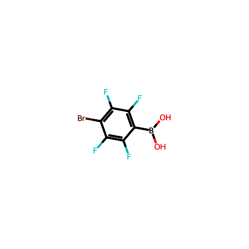 OB(O)c1c(F)c(F)c(Br)c(F)c1F